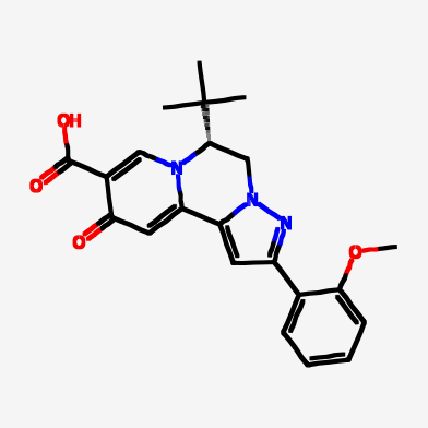 COc1ccccc1-c1cc2n(n1)C[C@@H](C(C)(C)C)n1cc(C(=O)O)c(=O)cc1-2